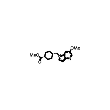 COc1cnc2ccn(C[C@H]3CC[C@H](C(=O)OC)CC3)c2c1